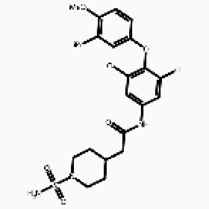 COc1ccc(Oc2c(Cl)cc(NC(=O)CC3CCN(S(N)(=O)=O)CC3)cc2Cl)cc1C(C)C